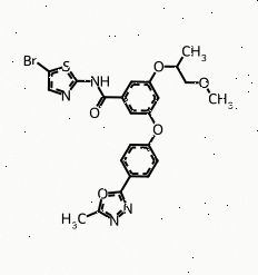 COCC(C)Oc1cc(Oc2ccc(-c3nnc(C)o3)cc2)cc(C(=O)Nc2ncc(Br)s2)c1